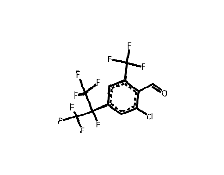 O=Cc1c(Cl)cc(C(F)(C(F)(F)F)C(F)(F)F)cc1C(F)(F)F